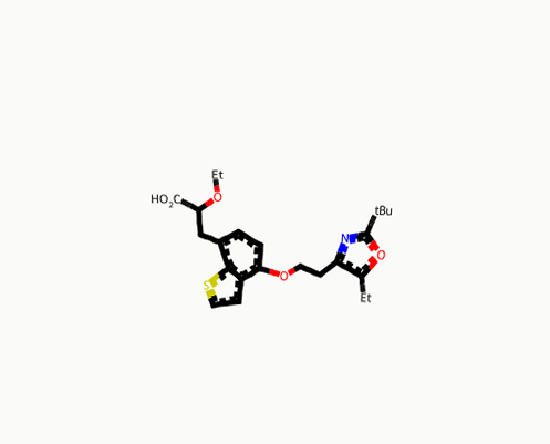 CCOC(Cc1ccc(OCCc2nc(C(C)(C)C)oc2CC)c2ccsc12)C(=O)O